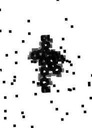 Cc1ccc2c(c1)c1ccccc1n2-c1ccc(C#N)cc1-c1nc(-c2ccccc2)nc(-c2ccc(-c3ccc(C#N)cc3)cc2-n2c3ccccc3c3cc(C)ccc32)n1